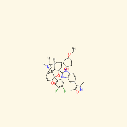 [2H]CO[C@H]1CC[C@H](n2c([C@]34OC5(c6ccc(F)c(F)c6)C6=C(C=C[C@@H]5O)C[C@@H]5[C@H](C=C[C@@H]3O)[C@@]64CCN5C)nc3cc(-c4c(C)noc4C)ccc32)CC1